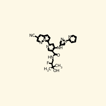 CC(C)(O)C(F)CNC(=O)c1cnc(-c2ccc3cc(C#N)cnn23)cc1Nc1cnn(-c2ccccn2)c1